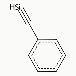 [SiH]#Cc1ccccc1